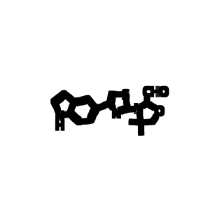 CC1(C)COC(C=O)N1c1nc(-c2ccc3[nH]ccc3c2)cs1